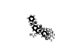 CC(C)c1ccc(S(=O)(=O)c2ccccc2)cc1S(=O)(=O)NC1CCN(C)C(C)(C)C1C